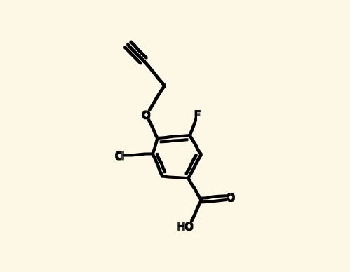 C#CCOc1c(F)cc(C(=O)O)cc1Cl